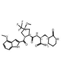 COc1cccc2[nH]c(C(=O)N3C[C@](OC)(C(F)(F)F)C[C@H]3C(=O)N[C@@H](C[C@@H]3CCCNC3=O)C(N)=O)cc12